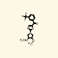 COC1CN(c2ncc(C(=O)c3cccc(C(F)(F)F)c3)s2)CC1OC